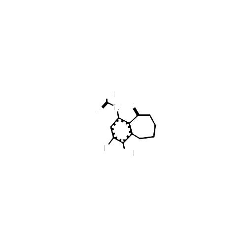 CC(=O)Nc1cc(F)c(C)c2c1C(=O)CCCC2